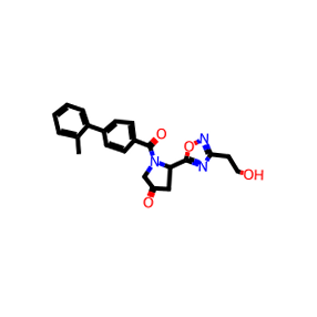 Cc1ccccc1-c1ccc(C(=O)N2CC(=O)CC2c2nc(CCO)no2)cc1